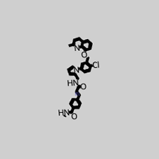 CNC(=O)c1ccc(/C=C/C(=O)NCc2cccn2-c2ccc(Cl)c(COc3cccc4ccc(C)nc34)c2)cc1